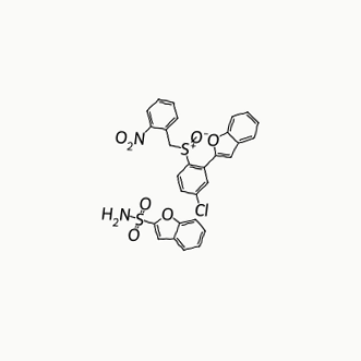 NS(=O)(=O)c1cc2ccccc2o1.O=[N+]([O-])c1ccccc1C[S+]([O-])c1ccc(Cl)cc1-c1cc2ccccc2o1